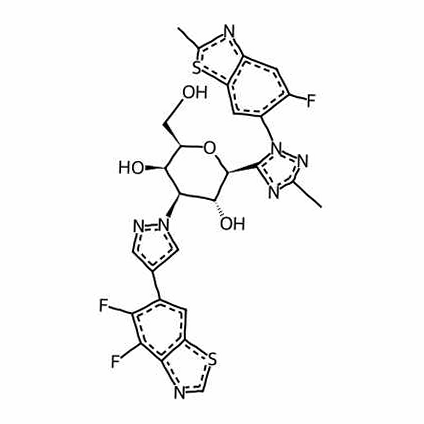 Cc1nc([C@@H]2O[C@H](CO)[C@H](O)[C@H](n3cc(-c4cc5scnc5c(F)c4F)cn3)[C@H]2O)n(-c2cc3sc(C)nc3cc2F)n1